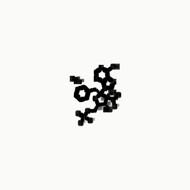 O=[N+]([O-])[C@@]1(S)[C@H](O)[C@@H](COP(=O)([O-])[O-])O[C@@]1(Cc1ccccc1)n1cnc2c(O)ncnc21.[Na+].[Na+]